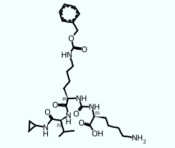 CC(C)[C@H](NC(=O)[C@@H](CCCCNC(=O)OCc1ccccc1)NC(=O)N[C@@H](CCCCN)C(=O)O)C(=O)NC1CC1